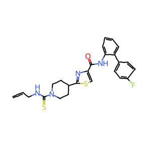 C=CCNC(=S)N1CCC(c2nc(C(=O)Nc3ccccc3-c3ccc(F)cc3)cs2)CC1